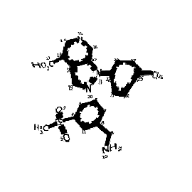 CS(=O)(=O)c1cccc(CN)c1.O=C(O)c1cncc2c1cnn2-c1ccc(Cl)cc1